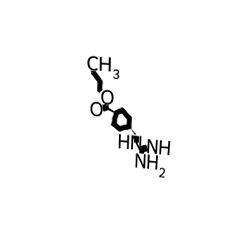 CCCCOC(=O)[C@H]1CC[C@H](CNC(=N)N)CC1